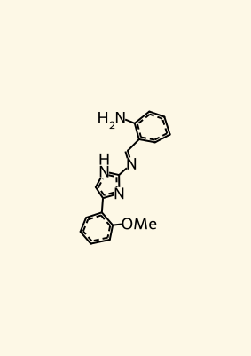 COc1ccccc1-c1c[nH]c(/N=C/c2ccccc2N)n1